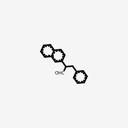 O=[C]C(Cc1ccccc1)c1ccc2ccccc2c1